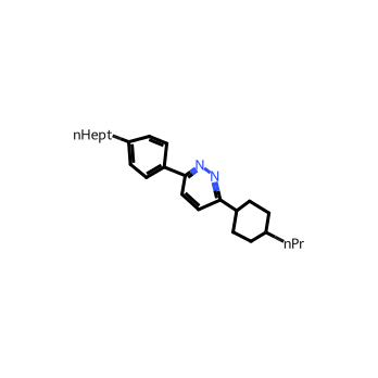 CCCCCCCc1ccc(-c2ccc(C3CCC(CCC)CC3)nn2)cc1